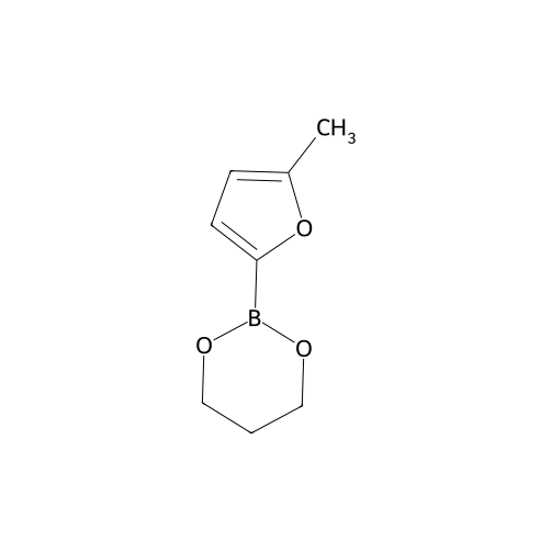 Cc1ccc(B2OCCCO2)o1